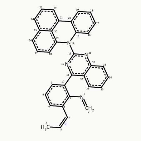 C=Nc1c(/C=C\C)cccc1-c1nc(N2c3ccccc3-c3cccc4cccc2c34)nc2ccccc12